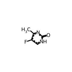 Cc1nc(=O)[nH]cc1F